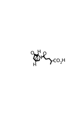 C[C@@H](CCC(=O)N1C[C@@H]2CC[C@H]1C(=O)O2)C(=O)O